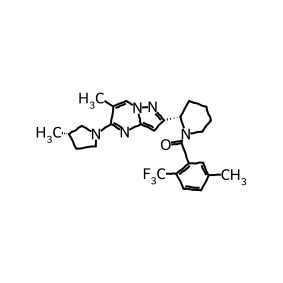 Cc1ccc(C(F)(F)F)c(C(=O)N2CCCC[C@H]2c2cc3nc(N4CC[C@H](C)C4)c(C)cn3n2)c1